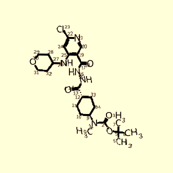 CN(C(=O)OC(C)(C)C)[C@H]1CC[C@H](C(=O)NNC(=O)c2cnc(Cl)cc2NC2CCOCC2)CC1